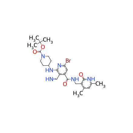 Cc1cc(C)c(CNC(=O)c2cc(Br)nc(NC3CCN(C(=O)OC(C)(C)C)CC3)c2C=N)c(=O)[nH]1